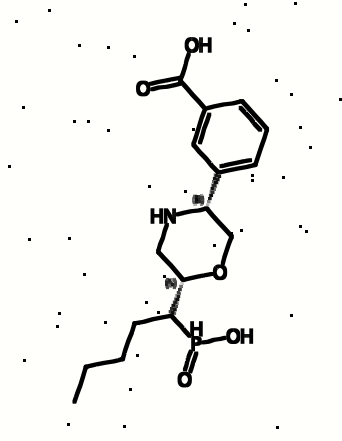 CCCCC([C@@H]1CN[C@H](c2cccc(C(=O)O)c2)CO1)[PH](=O)O